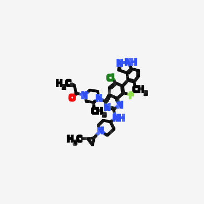 C=CC(=O)N1CCN(c2nc(NC3CCN(C4CC4C)CC3)nc3c(F)c(-c4c(C)ccc5[nH]ncc45)c(Cl)cc23)[C@@H](C)C1